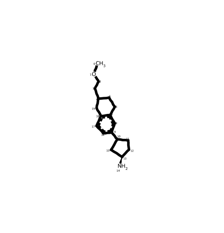 COCCC1CCc2cc(C3CC[C@@H](N)C3)ccc2C1